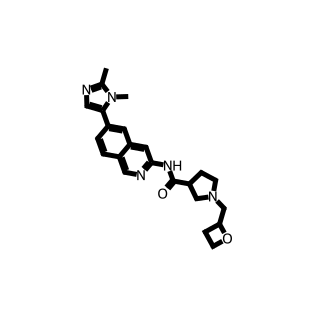 Cc1ncc(-c2ccc3cnc(NC(=O)C4CCN(CC5CCO5)C4)cc3c2)n1C